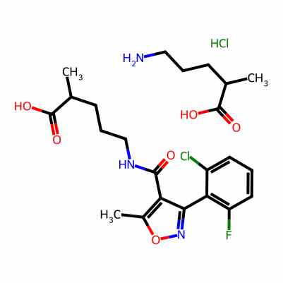 CC(CCCN)C(=O)O.Cc1onc(-c2c(F)cccc2Cl)c1C(=O)NCCCC(C)C(=O)O.Cl